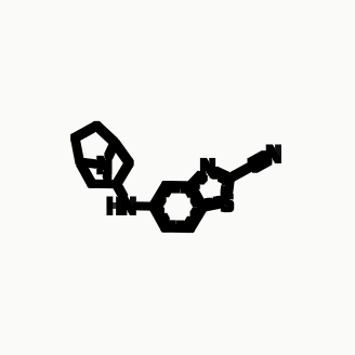 CN1C2CCC1CC(Nc1ccc3sc(C#N)nc3c1)C2